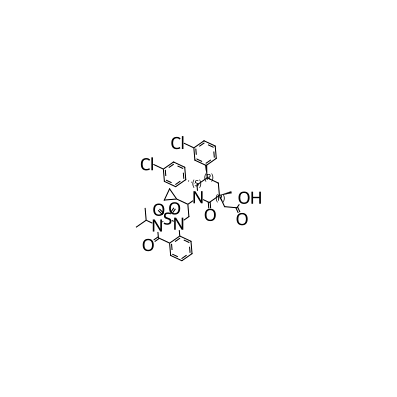 CC(C)N1C(=O)c2ccccc2N(CC(C2CC2)N2C(=O)[C@@](C)(CC(=O)O)C[C@H](c3cccc(Cl)c3)[C@H]2c2ccc(Cl)cc2)S1(=O)=O